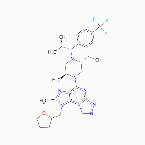 CC[C@@H]1CN(c2nc3nncn3c3c2nc(C)n3CC2CCCO2)[C@@H](C)CN1[C@@H](c1ccc(C(F)(F)F)cc1)C(C)C